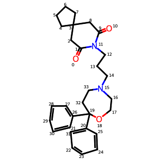 O=C1CC2(CCCC2)CC(=O)N1CCCN1CCOC(c2ccccc2)(c2ccccc2)CC1